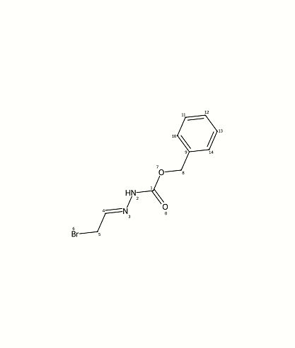 O=C(N/N=C/CBr)OCc1ccccc1